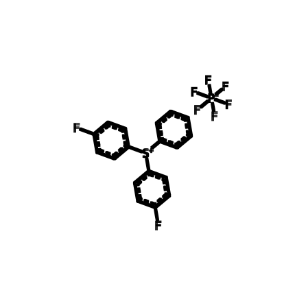 F[P-](F)(F)(F)(F)F.Fc1ccc([S+](c2ccccc2)c2ccc(F)cc2)cc1